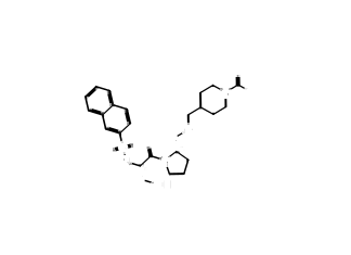 O=C(O)N1CCC(COC[C@@H]2CCCN2C(=O)[C@H](CO)NS(=O)(=O)c2ccc3ccccc3c2)CC1